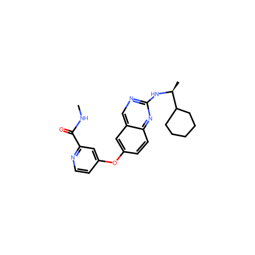 CNC(=O)c1cc(Oc2ccc3nc(N[C@@H](C)C4CCCCC4)ncc3c2)ccn1